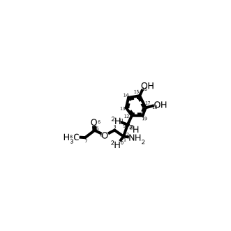 [2H]C(N)(COC(=O)CC)C([2H])([2H])c1ccc(O)c(O)c1